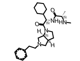 CN[C@@H](C)C(=O)N[C@H](C(=O)N1CC[C@H]2CN(CCc3ccccc3)C[C@H]21)C1CCCCC1